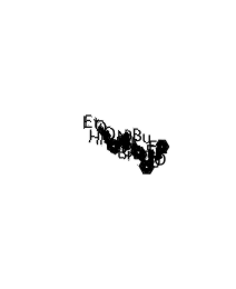 CCCCc1nn(-c2cc(NC(=O)COCC)ccc2Br)c(=O)n1Cc1ccc(-c2ccccc2S(=O)(=O)N(F)C(=O)c2ccccc2F)cc1